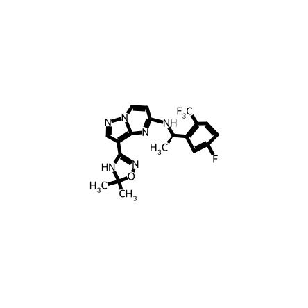 C[C@@H](Nc1ccn2ncc(C3=NOC(C)(C)N3)c2n1)c1cc(F)ccc1C(F)(F)F